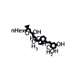 C=C1/C(=C\C=C2/CCC[C@]3(C)[C@@H]([C@H](C)/C=C/[C@H](O)CCC4(C(=O)CCCCCC)CC4)CC[C@@H]23)C[C@@H](O)CC1O